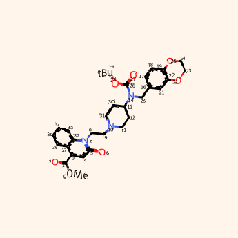 COC(=O)c1cc(=O)n(CCN2CCC(N(Cc3ccc4c(c3)OCCO4)C(=O)OC(C)(C)C)CC2)c2ccccc12